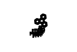 O=S(=O)(Oc1cccc2c3ccccc3c3ccccc3c12)C(F)(F)C(F)(F)C(F)(F)C(F)(F)F